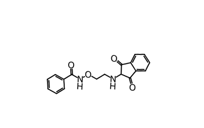 O=C(NOCCNC1C(=O)c2ccccc2C1=O)c1ccccc1